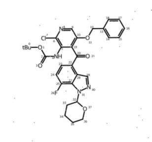 CC(C)(C)OC(=O)Nc1c(Cl)ncc(OCc2ccccc2)c1C(=O)c1ccc(F)c2c1cnn2C1CCCCO1